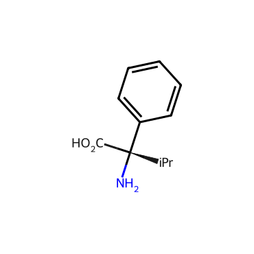 CC(C)[C@@](N)(C(=O)O)c1ccccc1